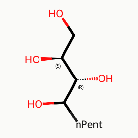 CCCCCC(O)[C@@H](O)[C@@H](O)CO